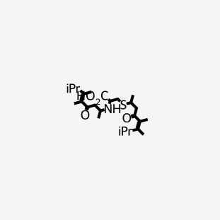 CC(C(=O)CC(C)NC(CSC(C)CC(=O)C(C)=C(C)C(C)C)C(=O)O)=C(C)C(C)C